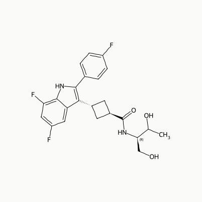 CC(O)[C@@H](CO)NC(=O)[C@H]1C[C@H](c2c(-c3ccc(F)cc3)[nH]c3c(F)cc(F)cc32)C1